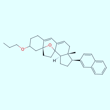 CCCOC1CCC2=CC3=CC[C@]4(C)[C@@H](c5ccc6ccccc6c5)CC[C@H]4C34CC[C@]2(C1)O4